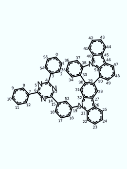 c1ccc(-c2nc(-c3ccccc3)nc(-c3cccc(-n4c5ccccc5c5cc6c(cc54)-c4ccccc4-n4c5ccccc5c5cccc-6c54)c3)n2)cc1